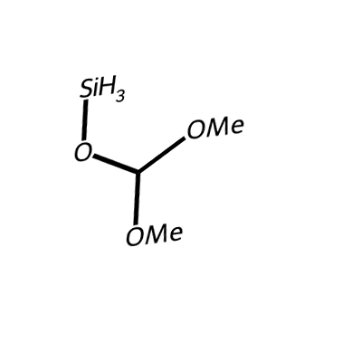 COC(OC)O[SiH3]